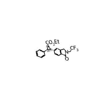 CCOC(=O)[C@@H]1[C@H](c2ccccc2)[C@H]1c1ccc2c(c1)CN(CC(F)(F)F)C2=O